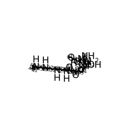 COCCOc1nc(N)c2nc(O)n(Cc3ccc(C(=O)NCC(=O)NCCCNCCCCNCCCNC(C)(C)C)cc3)c2n1